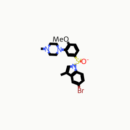 COc1ccc([S+]([O-])n2cc(C)c3cc(Br)ccc32)cc1N1CCN(C)CC1